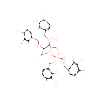 O=C1O[C@H]([C@H](CO)OP(=O)(OCc2ccc(F)c(Cl)c2F)OCc2ccc(F)c(Cl)c2F)C(OCc2ccc(F)c(Cl)c2F)=C1OCc1ccc(F)c(Cl)c1F